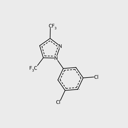 FC(F)(F)c1cc(C(F)(F)F)n(-c2cc(Cl)[c]c(Cl)c2)n1